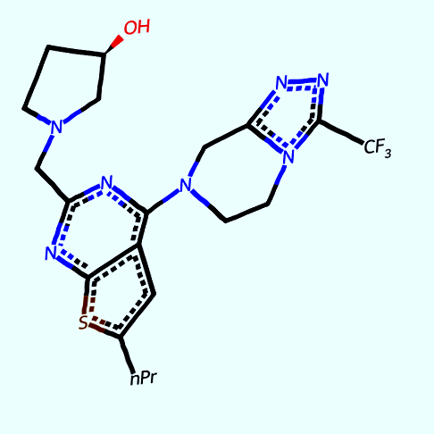 CCCc1cc2c(N3CCn4c(nnc4C(F)(F)F)C3)nc(CN3CC[C@@H](O)C3)nc2s1